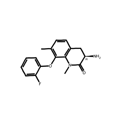 Cc1ccc2c(c1Oc1ccccc1F)N(C)C(=O)[C@H](N)C2